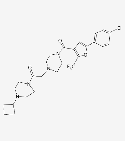 O=C(CN1CCN(C(=O)c2cc(-c3ccc(Cl)cc3)oc2C(F)(F)F)CC1)N1CCN(C2CCC2)CC1